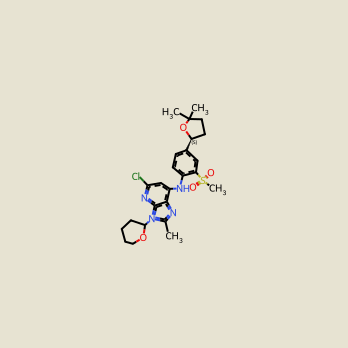 Cc1nc2c(Nc3ccc([C@@H]4CCC(C)(C)O4)cc3S(C)(=O)=O)cc(Cl)nc2n1C1CCCCO1